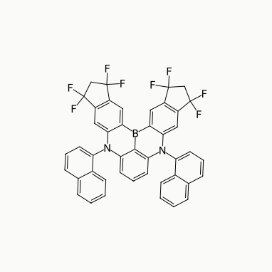 FC1(F)CC(F)(F)c2cc3c(cc21)B1c2cc4c(cc2N(c2cccc5ccccc25)c2cccc(c21)N3c1cccc2ccccc12)C(F)(F)CC4(F)F